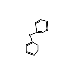 c1ccc(Oc2cncnc2)cc1